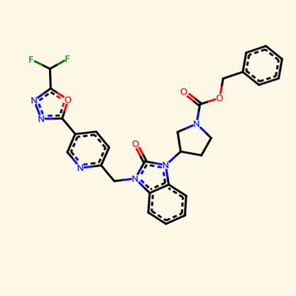 O=C(OCc1ccccc1)N1CCC(n2c(=O)n(Cc3ccc(-c4nnc(C(F)F)o4)cn3)c3ccccc32)C1